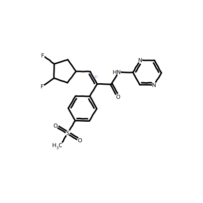 CS(=O)(=O)c1ccc(/C(=C\C2CC(F)C(F)C2)C(=O)Nc2cnccn2)cc1